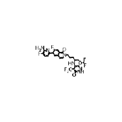 Nc1nc(-c2cc3ccn(CCCC(COC(F)F)Nc4cn[nH]c(=O)c4C(F)(F)F)c(=O)c3cc2F)ccc1F